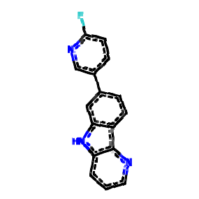 Fc1ccc(-c2ccc3c(c2)[nH]c2cccnc23)cn1